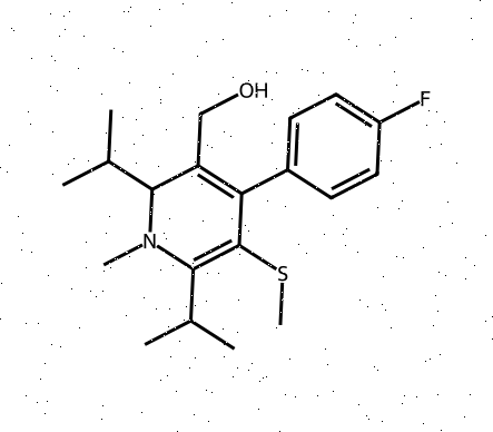 CSC1=C(C(C)C)N(C)C(C(C)C)C(CO)=C1c1ccc(F)cc1